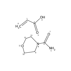 C=CC(=O)O.NC(=O)N1CCOCC1